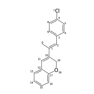 C/C(=C\c1ccc(Cl)cc1)C1=Cc2ccccc2OC1